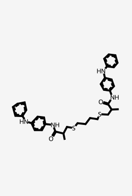 CC(CSCCCCSCC(C)C(=O)Nc1ccc(Nc2ccccc2)cc1)C(=O)Nc1ccc(Nc2ccccc2)cc1